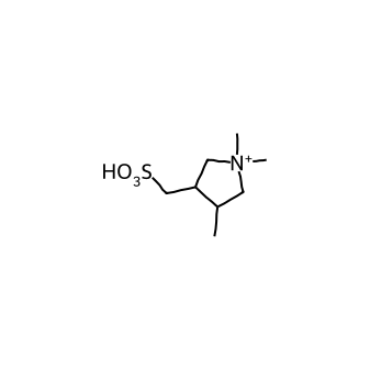 CC1C[N+](C)(C)CC1CS(=O)(=O)O